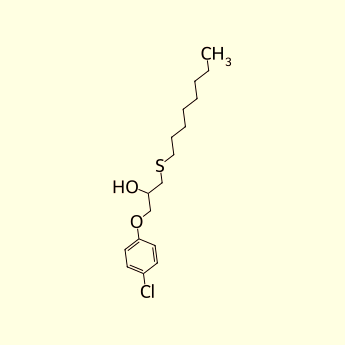 CCCCCCCCSCC(O)COc1ccc(Cl)cc1